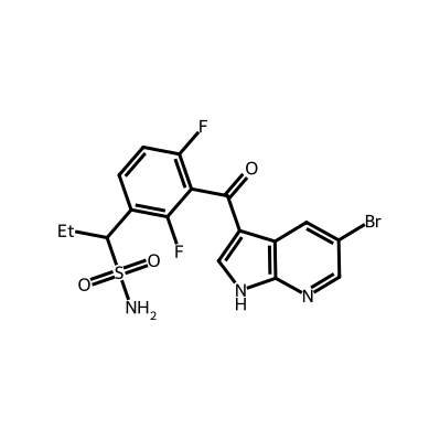 CCC(c1ccc(F)c(C(=O)c2c[nH]c3ncc(Br)cc23)c1F)S(N)(=O)=O